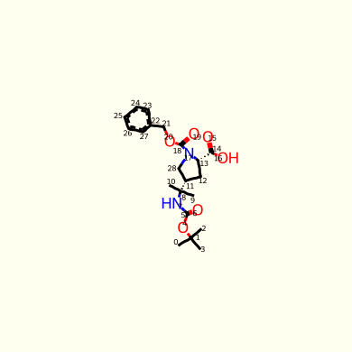 CC(C)(C)OC(=O)NC(C)(C)[C@H]1C[C@@H](C(=O)O)N(C(=O)OCc2ccccc2)C1